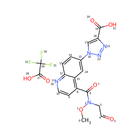 CON(CC=O)C(=O)c1ccnc2ccc(-n3cc(C(=O)O)nn3)cc12.O=C(O)C(F)(F)F